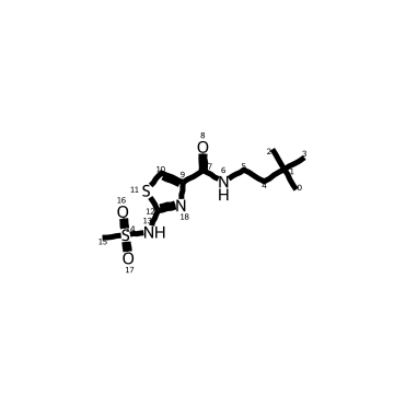 CC(C)(C)CCNC(=O)c1csc(NS(C)(=O)=O)n1